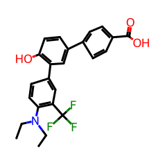 CCN(CC)c1ccc(-c2cc(-c3ccc(C(=O)O)cc3)ccc2O)cc1C(F)(F)F